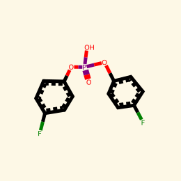 O=P(O)(Oc1ccc(F)cc1)Oc1ccc(F)cc1